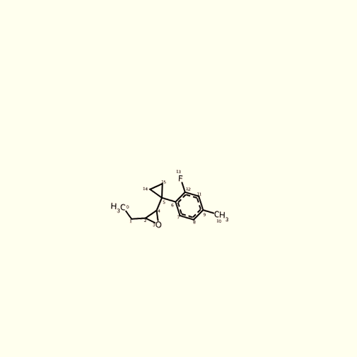 CCC1OC1C1(c2ccc(C)cc2F)CC1